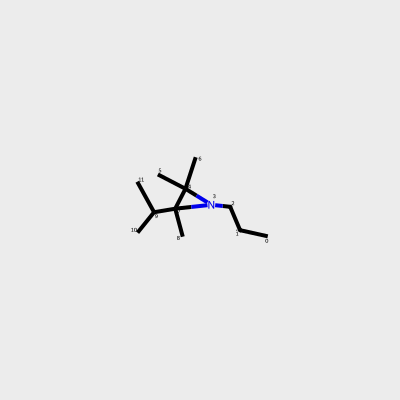 C[CH]CN1C(C)(C)C1(C)C(C)C